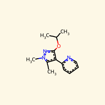 Cc1c(-c2ccccn2)c(OC(C)C)nn1C